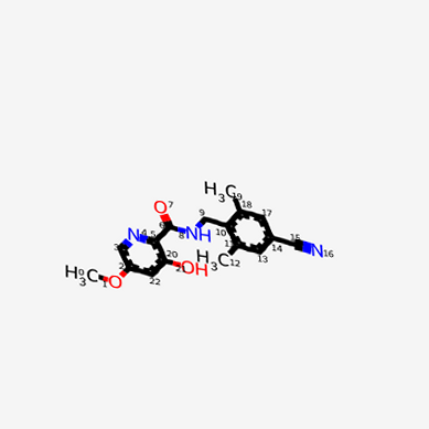 COc1cnc(C(=O)NCc2c(C)cc(C#N)cc2C)c(O)c1